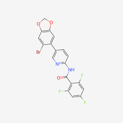 O=C(Nc1ccc(-c2cc3c(cc2Br)OCO3)cn1)c1c(F)cc(F)cc1F